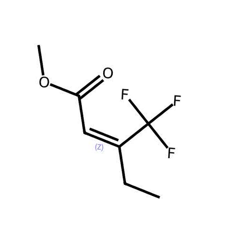 CC/C(=C/C(=O)OC)C(F)(F)F